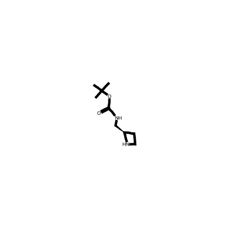 CC(C)(C)OC(=O)NC[C@H]1CCN1